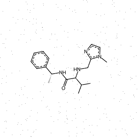 CC(C)C(NCc1nccn1C)C(=O)N[C@H](C)c1ccccc1